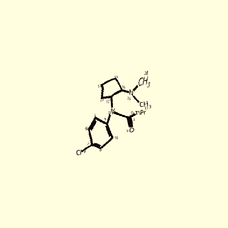 CCCC(=O)N(c1ccc(Cl)cc1)C1CCCC1N(C)C